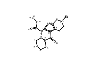 CCN1CCc2c(sc(NC(=O)OC(C)(C)C)c2C(=O)N2CCOCC2)C1